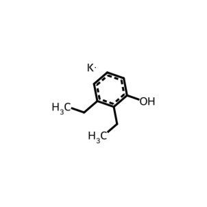 CCc1cccc(O)c1CC.[K]